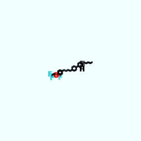 CCCCC[SiH]1CCC(C2CCC(CCCCc3ccc(OCC(F)F)c(F)c3)CC2)CC1